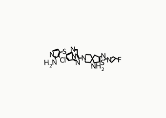 Nc1nccc(Sc2ccc3nc(N4CCC5(CC4)Cc4nc(N6CC(F)C6)sc4C5N)c4cnc2n34)c1Cl